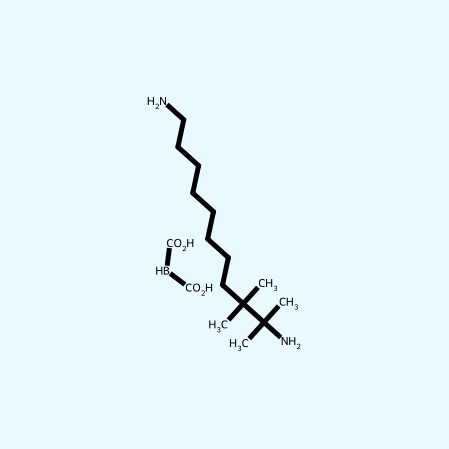 CC(C)(N)C(C)(C)CCCCCCCCN.O=C(O)BC(=O)O